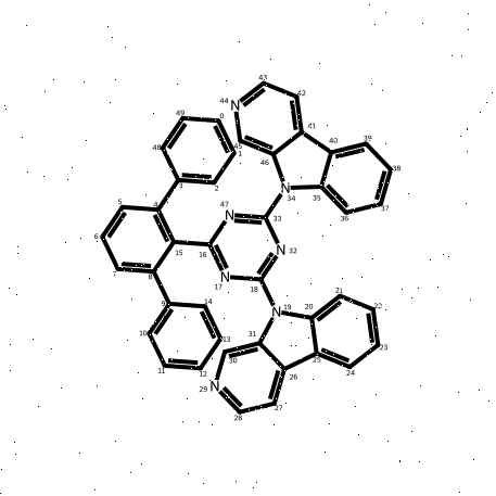 c1ccc(-c2cccc(-c3ccccc3)c2-c2nc(-n3c4ccccc4c4ccncc43)nc(-n3c4ccccc4c4ccncc43)n2)cc1